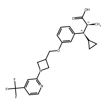 C[C@H](C(=O)O)[C@H](c1cccc(OCC2CN(c3cc(C(F)(F)F)ccn3)C2)c1)C1CC1